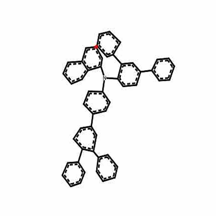 c1ccc(-c2ccc(N(c3ccc(-c4ccc(-c5ccccc5)c(-c5ccccc5)c4)cc3)c3cccc4ccccc34)c(-c3ccccc3)c2)cc1